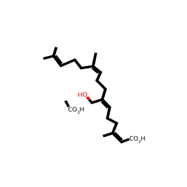 CC(=O)O.CC(C)=CCCC(C)=CCCC(=CCCC(C)=CC(=O)O)CO